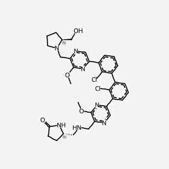 COc1nc(-c2cccc(-c3cccc(-c4cnc(CN5CCC[C@H]5CO)c(OC)n4)c3Cl)c2Cl)cnc1CNC[C@@H]1CCC(=O)N1